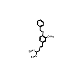 CCOC(C/N=C/c1ccc(OCc2ccccc2)c(OC)c1)OCC